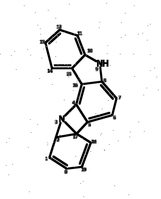 C1=CC2N3c4c(ccc5[nH]c6ccccc6c45)C23C=C1